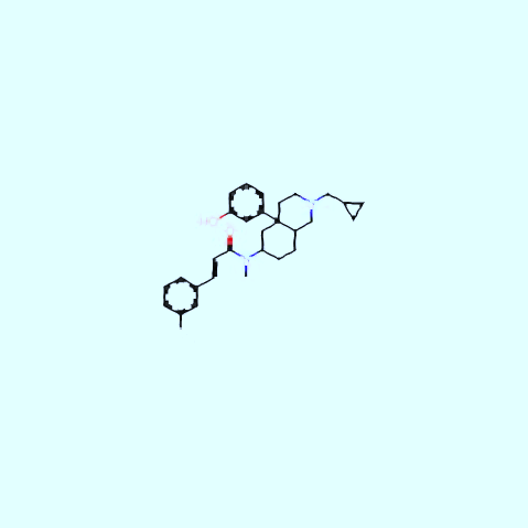 CN(C(=O)/C=C/c1cccc(C(F)(F)F)c1)C1CCC2CN(CC3CC3)CCC2(c2cccc(O)c2)C1